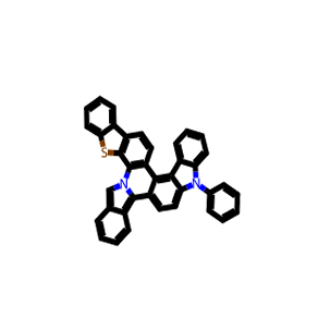 c1ccc(-n2c3ccccc3c3c4c(ccc32)c2c3ccccc3cn2c2c4ccc3c4ccccc4sc32)cc1